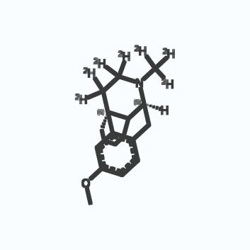 [2H]C([2H])([2H])N1[C@H]2Cc3ccc(OC)cc3[C@@]3(CCCCC23)C([2H])([2H])C1([2H])[2H]